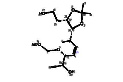 COCO[C@H](/C=C\C(C)[C@H]1OC(C)(C)O[C@H]1CCO)[C@H](C)O